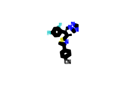 C[C@@H](c1nc(-c2ccc(C#N)cc2)cs1)[C@@H](Cn1cncn1)c1ccc(F)cc1F